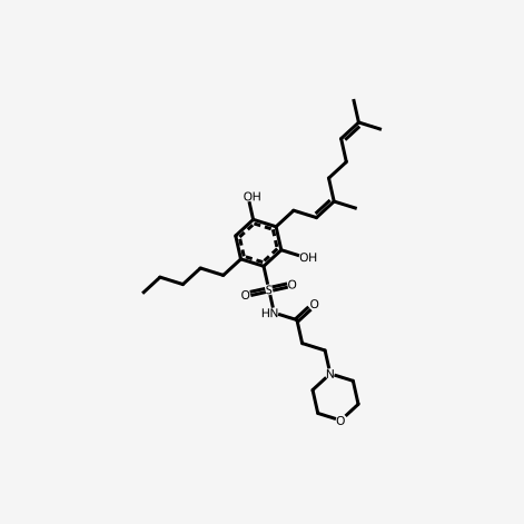 CCCCCc1cc(O)c(CC=C(C)CCC=C(C)C)c(O)c1S(=O)(=O)NC(=O)CCN1CCOCC1